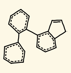 [CH]1C=Cc2c1cccc2-c1ccccc1-c1ccccc1